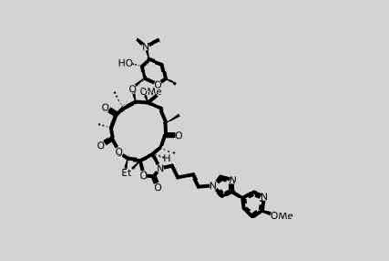 CC[C@H]1OC(=O)[C@H](C)C(=O)[C@H](C)[C@@H](O[C@@H]2O[C@H](C)C[C@H](N(C)C)[C@H]2O)[C@@](C)(OC)C[C@@H](C)C(=O)[C@H](C)[C@H]2N(CCCCn3cnc(-c4ccc(OC)nc4)c3)C(=O)O[C@]12C